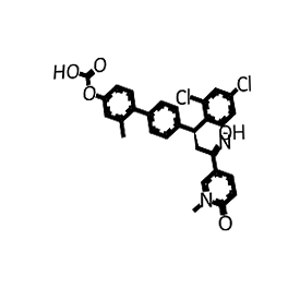 Cc1cc(OC(=O)O)ccc1-c1ccc([C@H](C/C(=N\O)c2ccc(=O)n(C)c2)c2ccc(Cl)cc2Cl)cc1